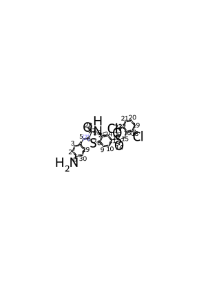 Nc1ccc(/C=C2\Sc3ccc(S(=O)(=O)Cc4c(Cl)cccc4Cl)cc3NC2=O)cc1